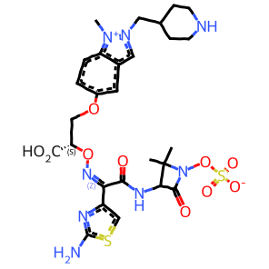 C[n+]1c2ccc(OC[C@H](O/N=C(\C(=O)NC3C(=O)N(OS(=O)(=O)[O-])C3(C)C)c3csc(N)n3)C(=O)O)cc2cn1CC1CCNCC1